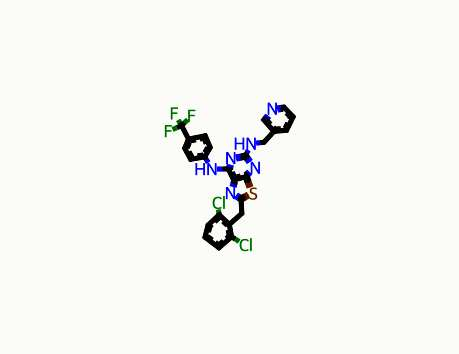 FC(F)(F)c1ccc(Nc2nc(NCc3cccnc3)nc3sc(Cc4c(Cl)cccc4Cl)nc23)cc1